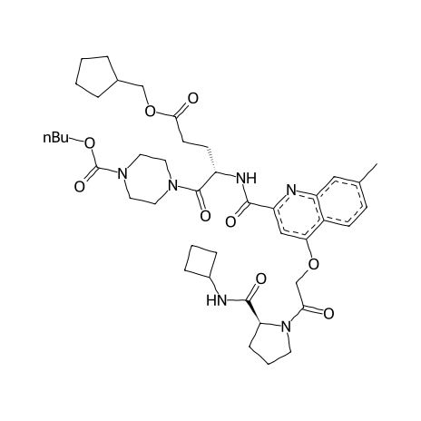 CCCCOC(=O)N1CCN(C(=O)[C@H](CCC(=O)OCC2CCCC2)NC(=O)c2cc(OCC(=O)N3CCC[C@H]3C(=O)NC3CCC3)c3ccc(C)cc3n2)CC1